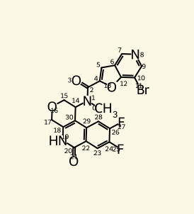 CN(C(=O)c1cc2cncc(Br)c2o1)C1COCc2[nH]c(=O)c3cc(F)c(F)cc3c21